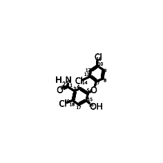 NC(=O)c1cc(Oc2ccc(Cl)cc2Cl)c(O)cc1Cl